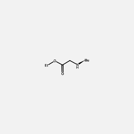 CCOC(=O)CN[C@H](C)CC